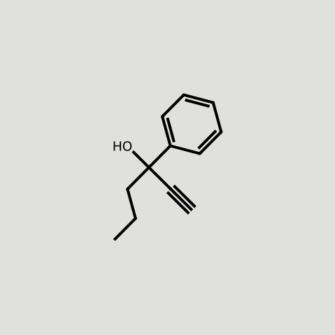 C#CC(O)(CCC)c1ccccc1